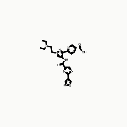 CCN(CC)CCn1cc(NC(=O)c2csc(-c3cn[nH]c3)n2)c(-c2ccccn2)n1.O=CO